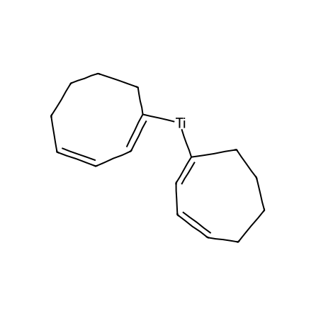 C1=CCCCC[C]([Ti][C]2=CC=CCCCC2)=C1